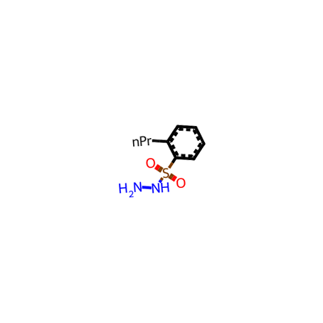 CCCc1ccccc1S(=O)(=O)NN